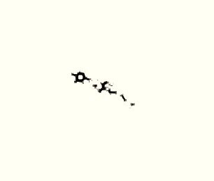 CC(S)OCCOCCn1ncc2nc(NCc3ccc(Cl)c(Cl)c3)[nH]c(=O)c21